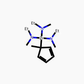 CC[N](C)[Zr]([N](C)CC)([N](C)CC)[C]1(C)C=CC=C1